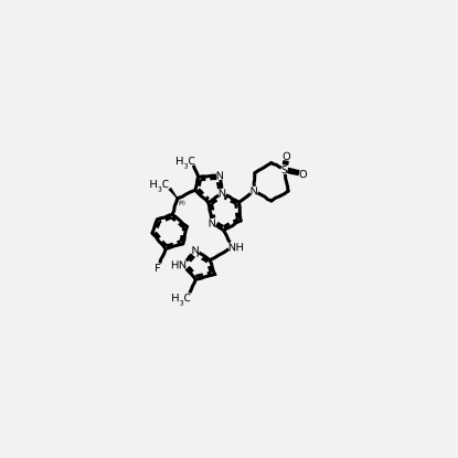 Cc1cc(Nc2cc(N3CCS(=O)(=O)CC3)n3nc(C)c([C@H](C)c4ccc(F)cc4)c3n2)n[nH]1